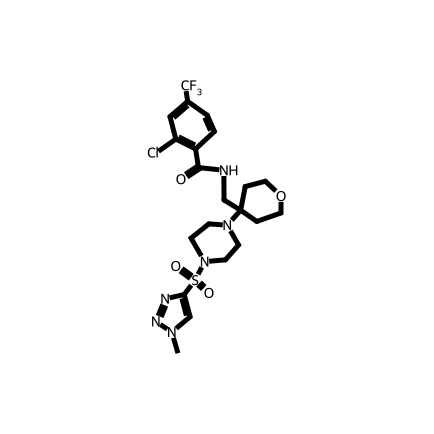 Cn1cc(S(=O)(=O)N2CCN(C3(CNC(=O)c4ccc(C(F)(F)F)cc4Cl)CCOCC3)CC2)nn1